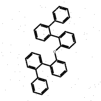 c1ccc(-c2ccccc2-c2ccccc2Oc2ccccc2-c2ccccc2-c2ccccc2)cc1